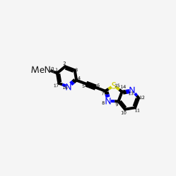 CNc1ccc(C#Cc2nc3cccnc3s2)nc1